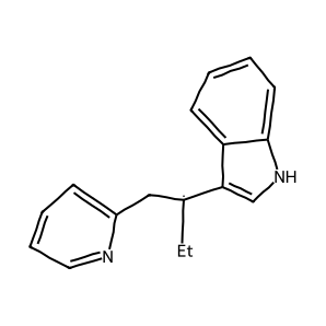 CC[C](Cc1ccccn1)c1c[nH]c2ccccc12